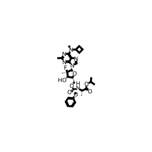 Cc1nc(N(C)C2CCC2)c2ncn([C@@H]3O[C@H](COP(=O)(N[C@@H](C)C(=O)OC(C)C)Oc4ccccc4)[C@@H](O)[C@@]3(C)F)c2n1